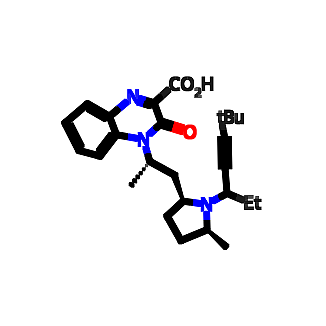 CCC(C#CC(C)(C)C)N1[C@H](C[C@H](C)n2c(=O)c(C(=O)O)nc3ccccc32)CC[C@@H]1C